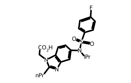 CCCc1nc2cc(N(C(C)C)S(=O)(=O)c3ccc(F)cc3)ccc2n1CC(=O)O